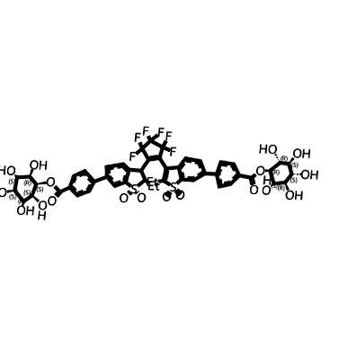 CCC1=C(C2=C(C3c4ccc(-c5ccc(C(=O)O[C@@H]6[C@H](O)[C@@H](O)[C@H](O)[C@@H](O)[C@@H]6O)cc5)cc4S(=O)(=O)C3CC)C(F)(F)C(F)(F)C2(F)F)c2ccc(-c3ccc(C(=O)O[C@H]4[C@H](O)[C@@H](O)[C@H](O)[C@@H](O)[C@@H]4O)cc3)cc2S1(=O)=O